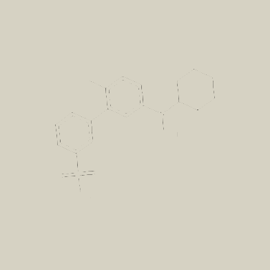 CS(=O)(=O)c1cccc(-c2cc(N(C(=O)O)C3CCCCC3)ccc2F)c1